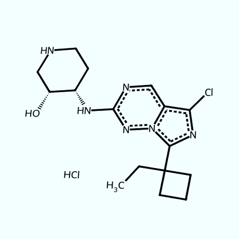 CCC1(c2nc(Cl)c3cnc(N[C@H]4CCNC[C@H]4O)nn23)CCC1.Cl